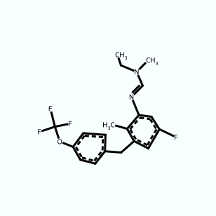 CCN(C)C=Nc1cc(F)cc(Cc2ccc(OC(F)(F)F)cc2)c1C